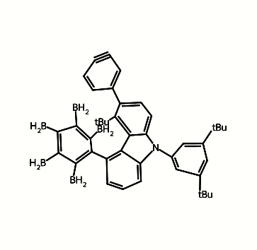 Bc1c(B)c(B)c(-c2cccc3c2c2c(C(C)(C)C)c(-c4cc#ccc4)ccc2n3-c2cc(C(C)(C)C)cc(C(C)(C)C)c2)c(B)c1B